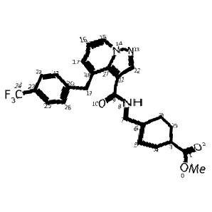 COC(=O)C1CCC(CNC(=O)c2cnn3cccc(Cc4ccc(C(F)(F)F)cc4)c23)CC1